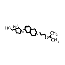 CC(C)OCCC[C@@H]1CCc2cc([C@H]3CC[C@@](N)(CO)C3)ccc2C1